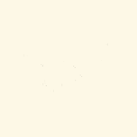 CCOc1cc2c(c(F)c1OCC)/C(=N/Br)N(CC(=O)c1cc(N3CCC(O)CC3)c(OC)c(C(C)(C)C)c1)C2